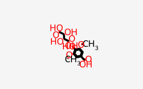 COc1cc(C(=O)O)cc(OC)c1O.O=C(O)C(O)C(O)C(=O)O